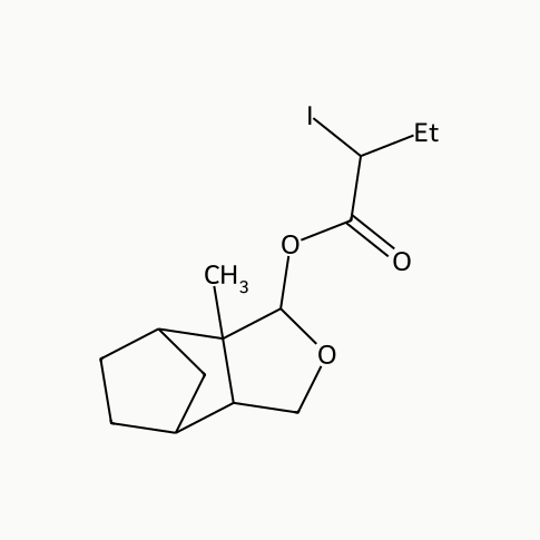 CCC(I)C(=O)OC1OCC2C3CCC(C3)C12C